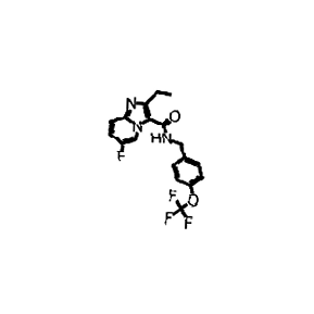 CCc1nc2ccc(F)cn2c1C(=O)NCc1ccc(OC(F)(F)F)cc1